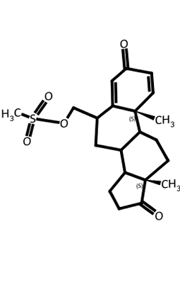 C[C@]12C=CC(=O)C=C1C(COS(C)(=O)=O)CC1C2CC[C@]2(C)C(=O)CCC12